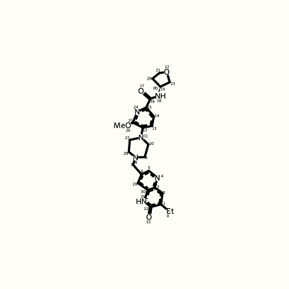 CCc1cc2ncc(CN3CCN(c4ccc(C(=O)N[C@@H]5CCOC5)nc4OC)CC3)cc2[nH]c1=O